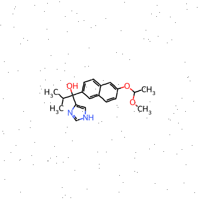 COC(C)Oc1ccc2cc(C(O)(c3c[nH]cn3)C(C)C)ccc2c1